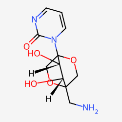 NCC12COC(n3cccnc3=O)(CO1)[C@@H](O)[C@H]2O